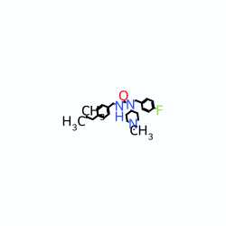 CC(C)Cc1ccc(CNC(=O)N(Cc2ccc(F)cc2)C2CCN(C)CC2)cc1